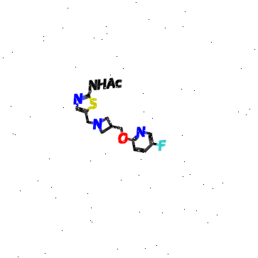 CC(=O)Nc1ncc(CN2CC(COc3ccc(F)cn3)C2)s1